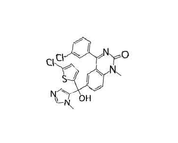 Cn1cncc1C(O)(c1ccc2c(c1)c(-c1cccc(Cl)c1)nc(=O)n2C)c1ccc(Cl)s1